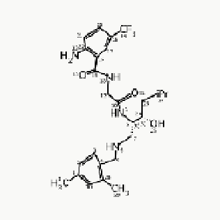 Cc1ccc(CNC[C@H](NC(=O)CNC(=O)c2cc(C(F)(F)F)ccc2N)[C@@H](O)CC(C)C)c(C)c1